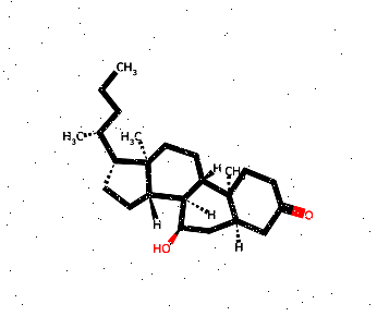 CCC[C@@H](C)[C@H]1CC[C@H]2[C@@H]3[C@H](O)C[C@@H]4CC(=O)CC[C@]4(C)[C@H]3CC[C@]12C